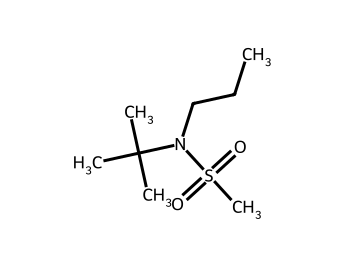 CCCN(C(C)(C)C)S(C)(=O)=O